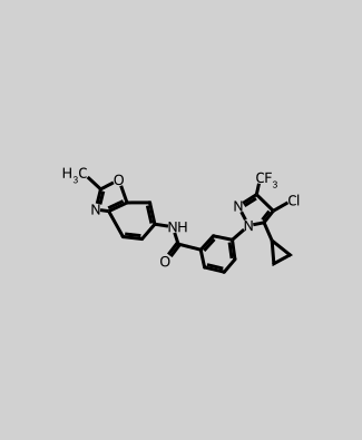 Cc1nc2ccc(NC(=O)c3cccc(-n4nc(C(F)(F)F)c(Cl)c4C4CC4)c3)cc2o1